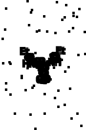 CCc1ccc(NCc2cc3cc4c(cc3n(CC(=O)Nc3ccc(CC)cc3)c2=O)OCCO4)cc1